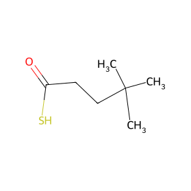 CC(C)(C)CCC(=O)S